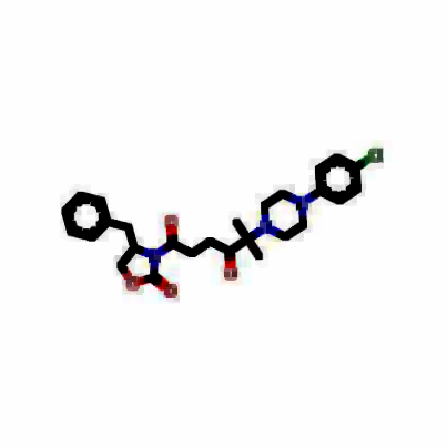 CC(C)(C(=O)CCC(=O)N1C(=O)OCC1Cc1ccccc1)N1CCN(c2ccc(Cl)cc2)CC1